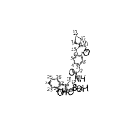 O=C(Cc1ccc2c(c1)OCC1(CCC1)C2)N[C@@H](Cc1coc2ccccc12)B(O)O